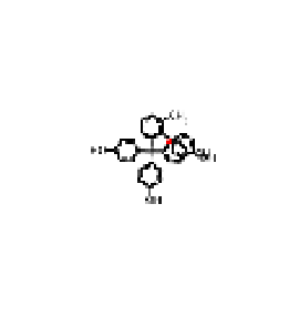 Cc1cccc(C(c2ccc(O)cc2)(c2ccc(O)cc2)c2ccc(O)cc2)c1-c1ccc(O)cc1